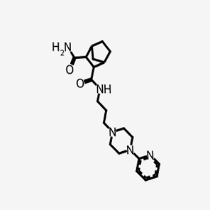 NC(=O)C1C2CCC(C2)C1C(=O)NCCCN1CCN(c2ccccn2)CC1